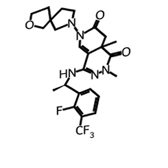 C[C@@H](NC1=NN(C)C(=O)C2(C)CC(=O)N(N3CCC4(CCOC4)C3)C=C12)c1cccc(C(F)(F)F)c1F